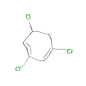 ClC1=CC(Cl)=CC(Cl)[CH]1